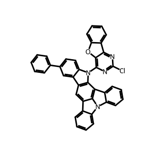 Clc1nc(-n2c3ccc(-c4ccccc4)cc3c3cc4c5ccccc5n5c6ccccc6c(c32)c45)c2oc3ccccc3c2n1